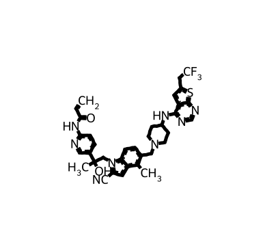 C=CC(=O)Nc1ccc(C(C)(O)Cn2c(C#N)cc3c(C)c(CN4CCC(Nc5ncnc6sc(CC(F)(F)F)cc56)CC4)ccc32)cn1